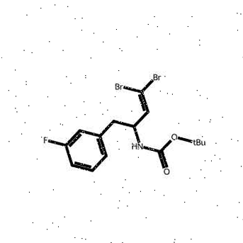 CC(C)(C)OC(=O)NC(C=C(Br)Br)Cc1cccc(F)c1